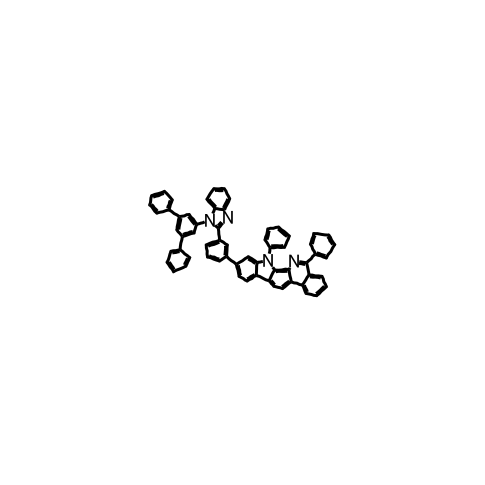 c1ccc(-c2cc(-c3ccccc3)cc(-n3c(-c4cccc(-c5ccc6c7ccc8c9ccccc9c(-c9ccccc9)nc8c7n(-c7ccccc7)c6c5)c4)nc4ccccc43)c2)cc1